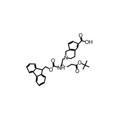 CC(C)(C)OC(=O)CC[C@@H](CN1CCc2cc(C(=O)O)ccc2C1)NC(=O)OCC1c2ccccc2-c2ccccc21